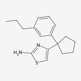 CCCc1cccc(C2(c3csc(N)n3)CCCC2)c1